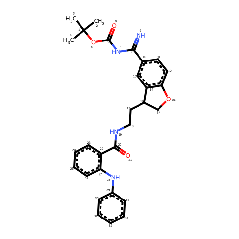 CC(C)(C)OC(=O)NC(=N)c1ccc2c(c1)C(CCNC(=O)c1ccccc1Nc1ccccc1)CO2